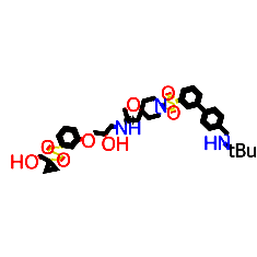 CC(C)(C)NCc1ccc(-c2cccc(S(=O)(=O)N3CCC4(CC3)C[C@H](NCC(O)COc3cccc(S(=O)(=O)C5(CO)CC5)c3)CO4)c2)cc1